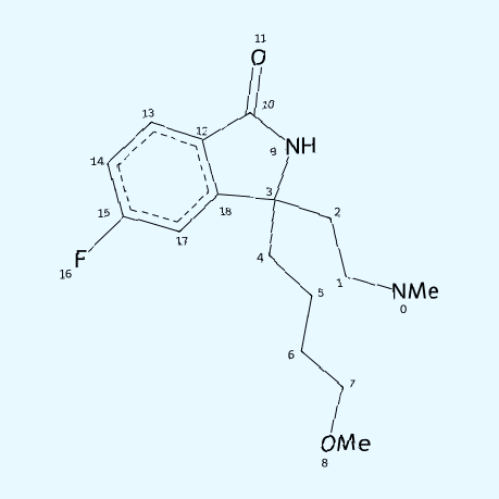 CNCCC1(CCCCOC)NC(=O)c2ccc(F)cc21